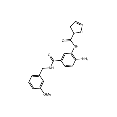 COc1cccc(CNC(=O)c2ccc(N)c(NC(=O)C3CC=CO3)c2)c1